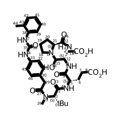 CCC(C)[C@@H](C(=O)N[C@@H](CCC(=O)O)C(=O)N[C@@H](CC(=O)O)C(O)N1CCC[C@H]1C(N)=O)N(C)C(=O)Cc1ccc(NC(=O)Nc2ccccc2C)cc1